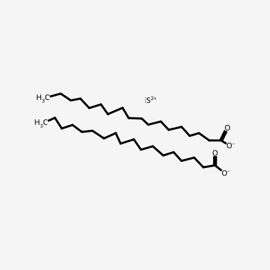 CCCCCCCCCCCCCCCCCC(=O)[O-].CCCCCCCCCCCCCCCCCC(=O)[O-].[S+2]